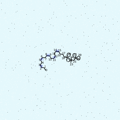 CC/C=C\C/C=C\C/C=C\C/C=C\C/C=C\CCCC(=O)OC(C)(C)CC(=O)OC